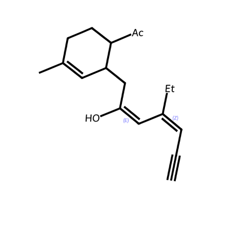 C#C/C=C(\C=C(\O)CC1C=C(C)CCC1C(C)=O)CC